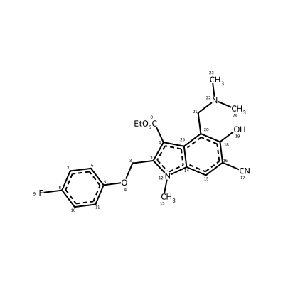 CCOC(=O)c1c(COc2ccc(F)cc2)n(C)c2cc(C#N)c(O)c(CN(C)C)c12